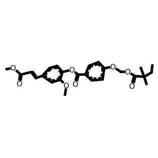 CCC(C)(C)C(=O)OCOc1ccc(C(=O)Oc2ccc(/C=C/C(=O)OC)cc2OC)cc1